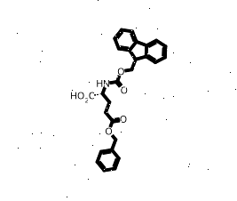 O=C(CC[C@@H](NC(=O)OCC1c2ccccc2-c2ccccc21)C(=O)O)OCc1ccccc1